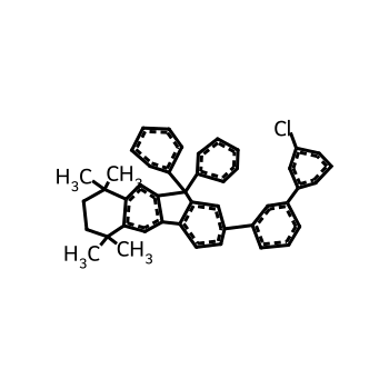 CC1(C)CCC(C)(C)c2cc3c(cc21)-c1ccc(-c2cccc(-c4cccc(Cl)c4)c2)cc1C3(c1ccccc1)c1ccccc1